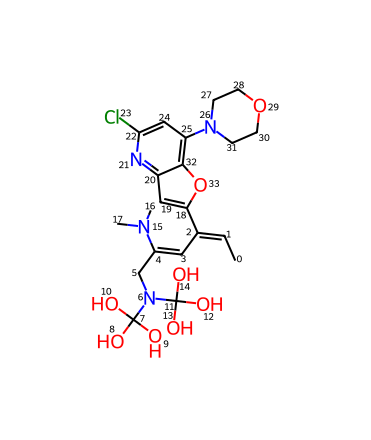 C/C=C(\C=C(\CN(C(O)(O)O)C(O)(O)O)N(C)C)c1cc2nc(Cl)cc(N3CCOCC3)c2o1